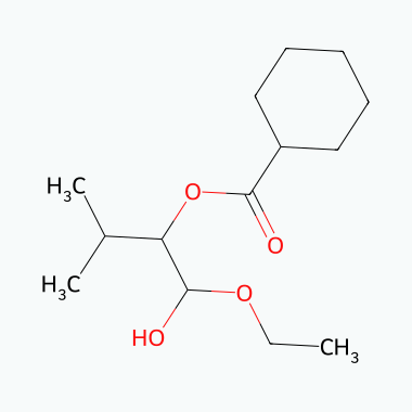 CCOC(O)C(OC(=O)C1CCCCC1)C(C)C